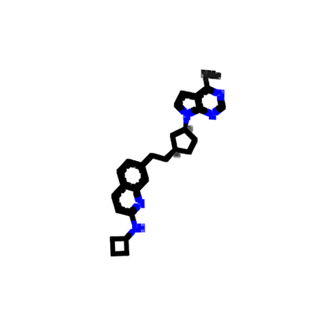 CNc1ncnc2c1ccn2[C@H]1CC[C@@H](CCc2ccc3ccc(NC4CCC4)nc3c2)C1